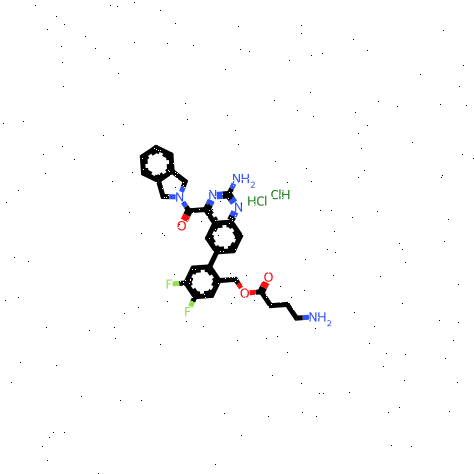 Cl.Cl.NCCCC(=O)OCc1cc(F)c(F)cc1-c1ccc2nc(N)nc(C(=O)N3Cc4ccccc4C3)c2c1